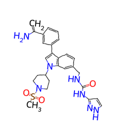 C=C(N)c1cccc(-c2cn(C3CCN(S(C)(=O)=O)CC3)c3cc(CNC(=O)Nc4cc[nH]n4)ccc23)c1